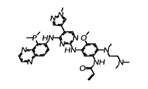 C=CC(=O)Nc1cc(Nc2ncc(-c3cnn(C)c3)c(Nc3ccc4nccnc4c3P(C)C)n2)c(OC)cc1N(C)CCN(C)C